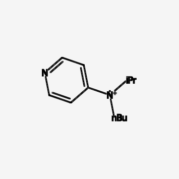 CCCC[N+](c1ccncc1)C(C)C